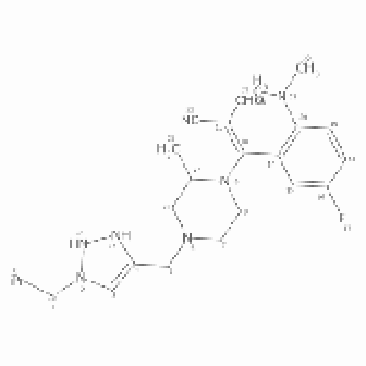 CC(C)SN1C=C(CN2CCN(/C(=C(\C#N)C=O)c3cc(F)ccc3N(C)C)C(C)C2)NN1